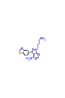 NCCCCn1nc(-c2ccc3ocnc3c2)c2c(N)ncnc21